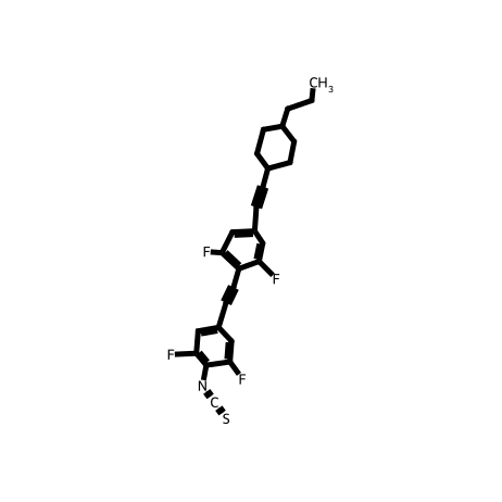 CCCC1CCC(C#Cc2cc(F)c(C#Cc3cc(F)c(N=C=S)c(F)c3)c(F)c2)CC1